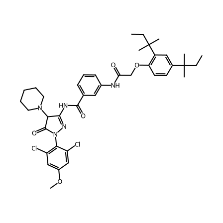 CCC(C)(C)c1ccc(OCC(=O)Nc2cccc(C(=O)NC3=NN(c4c(Cl)cc(OC)cc4Cl)C(=O)C3N3CCCCC3)c2)c(C(C)(C)CC)c1